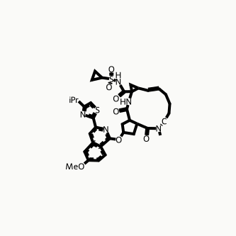 COc1ccc2c(OC3CC4C(=O)NC5(C(=O)NS(=O)(=O)C6CC6)CC5/C=C/CCCCN(C)C(=O)C4C3)nc(-c3nc(C(C)C)cs3)cc2c1